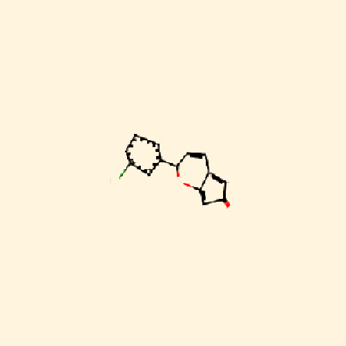 O=C1C=C2C=CC(c3cccc(Br)c3)OC2=C1